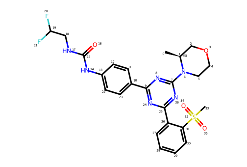 C[C@H]1COCCN1c1nc(-c2ccc(NC(=O)NCC(F)F)cc2)nc(-c2ccccc2S(C)(=O)=O)n1